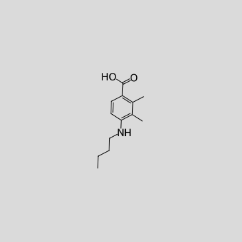 CCCCNc1ccc(C(=O)O)c(C)c1C